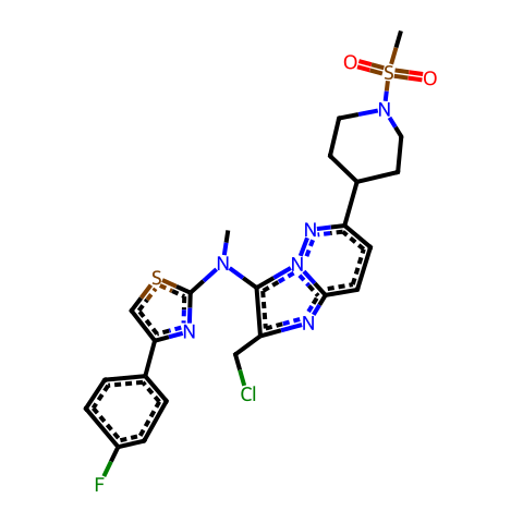 CN(c1nc(-c2ccc(F)cc2)cs1)c1c(CCl)nc2ccc(C3CCN(S(C)(=O)=O)CC3)nn12